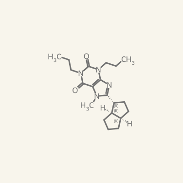 CCCn1c(=O)c2c(nc([C@@H]3CC[C@H]4CCC[C@H]43)n2C)n(CCC)c1=O